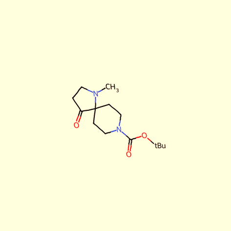 CN1CCC(=O)C12CCN(C(=O)OC(C)(C)C)CC2